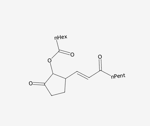 CCCCCCC(=O)OC1C(=O)CCC1C=CC(=O)CCCCC